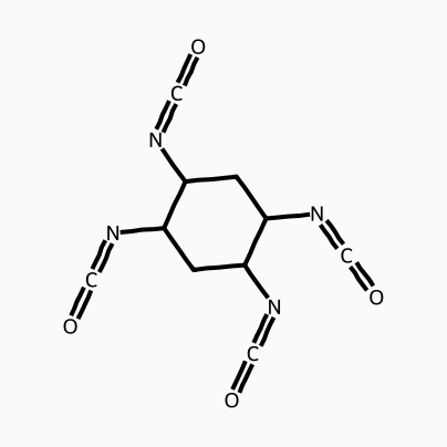 O=C=NC1CC(N=C=O)C(N=C=O)CC1N=C=O